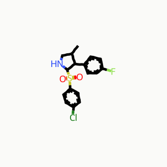 CC1CNC(S(=O)(=O)c2ccc(Cl)cc2)C1c1ccc(F)cc1